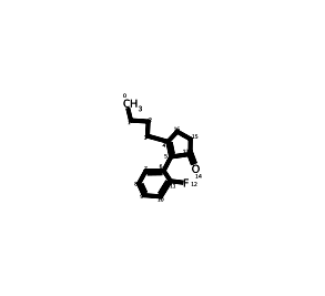 CCCCC1=C(c2ccccc2F)C(=O)CC1